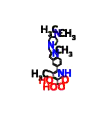 CCc1c(-c2ccc3c(c2)cc(CN2CCC(N(C)C)CC2)n3C)[nH]c(=O)c(C(=O)O)c1O